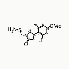 COc1cc(F)c(C2CC(=O)N(CSN)C2)c(F)c1